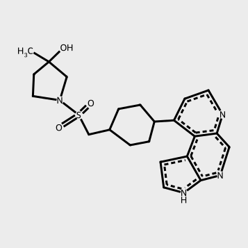 CC1(O)CCN(S(=O)(=O)CC2CCC(c3ccnc4cnc5[nH]ccc5c34)CC2)C1